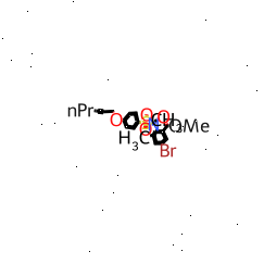 CCCC#CCOc1ccc(S(=O)(=O)N(C)c2c(C)cc(Br)cc2C(=O)OC)cc1